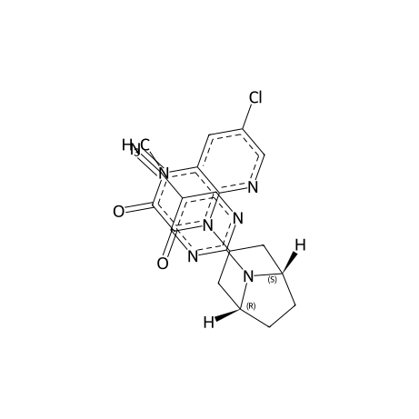 Cn1c(=O)c(=O)n(C2C[C@H]3CC[C@@H](C2)N3c2ncc(C#N)cn2)c2ncc(Cl)cc21